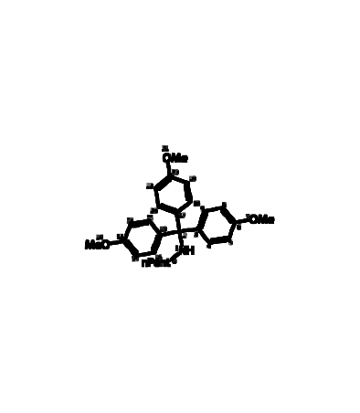 CCCCCNC(c1ccc(OC)cc1)(c1ccc(OC)cc1)c1ccc(OC)cc1